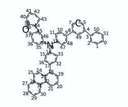 c1ccc(-c2cccc(-c3ccc(N(c4ccc(-c5cccc6c5ccc5ccccc56)cc4)c4ccc5oc6ccccc6c5c4)cc3)c2)cc1